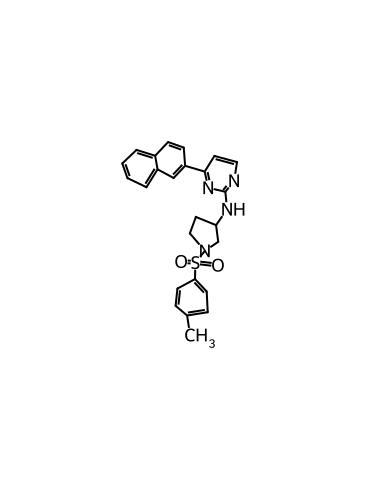 Cc1ccc(S(=O)(=O)N2CCC(Nc3nccc(-c4ccc5ccccc5c4)n3)C2)cc1